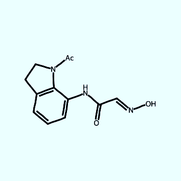 CC(=O)N1CCc2cccc(NC(=O)C=NO)c21